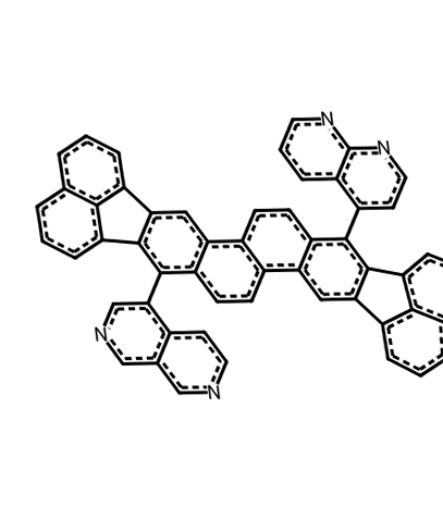 c1cc2c3c(cccc3c1)-c1c-2cc2c(ccc3c4cc5c(c(-c6ccnc7ncccc67)c4ccc23)-c2cccc3cccc-5c23)c1-c1cncc2cnccc12